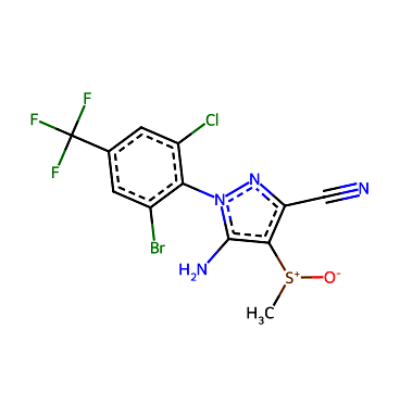 C[S+]([O-])c1c(C#N)nn(-c2c(Cl)cc(C(F)(F)F)cc2Br)c1N